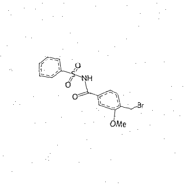 COc1cc(C(=O)NS(=O)(=O)c2ccccc2)ccc1CBr